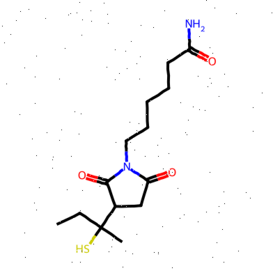 CCC(C)(S)C1CC(=O)N(CCCCCC(N)=O)C1=O